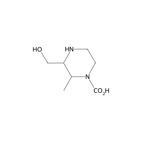 CC1C(CO)NCCN1C(=O)O